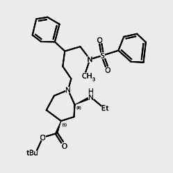 CCN[C@H]1C[C@@H](C(=O)OC(C)(C)C)CCN1CCC(CN(C)S(=O)(=O)c1ccccc1)c1ccccc1